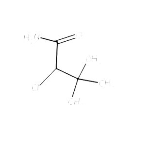 CC(C)(C)C(Cl)C(N)=O